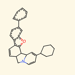 C1=CN2CC3C=Cc4c(oc5cc(-c6ccccc6)ccc45)C3C2C=C1C1CCCCC1